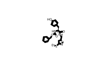 CCSC1=NOC(CNC(=O)[C@H](Cc2ccc(O)cc2)NC(=O)OCc2ccccc2)C1